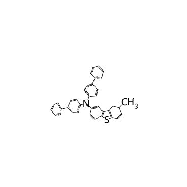 CC1C=Cc2sc3ccc(N(c4ccc(-c5ccccc5)cc4)c4ccc(-c5ccccc5)cc4)cc3c2C1